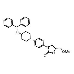 COC[C@H]1CN(c2ccc([C@H]3CC[C@H](OC(c4ccccc4)c4ccccc4)CC3)cc2)C(=O)O1